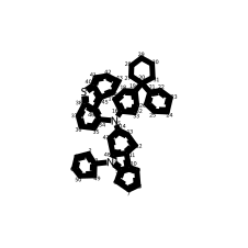 c1ccc(-n2c3ccccc3c3ccc(N(c4ccc(C5(c6ccccc6)CCCCC5)cc4)c4cccc5sc6ccccc6c45)cc32)cc1